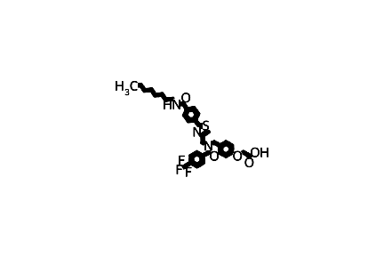 CCCCCCCCNC(=O)c1ccc(-c2nc(CN(Cc3ccc(OCC(=O)O)cc3)C(=O)c3ccc(C(F)(F)F)cc3)cs2)cc1